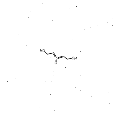 O=S(=CCO)=CCO